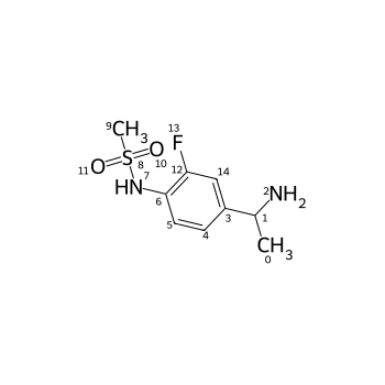 CC(N)c1ccc(NS(C)(=O)=O)c(F)c1